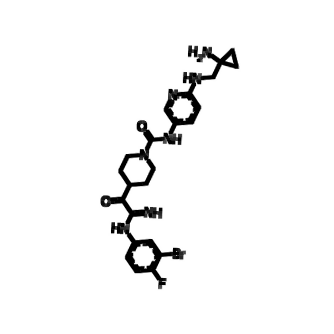 N=C(Nc1ccc(F)c(Br)c1)C(=O)C1CCN(C(=O)Nc2ccc(NCC3(N)CC3)nc2)CC1